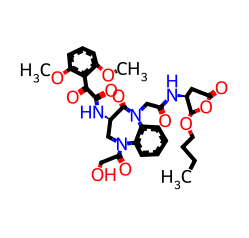 CCCCOC1OC(=O)C[C@@H]1NC(=O)CN1C(=O)[C@@H](NC(=O)C(=O)c2c(OC)cccc2OC)CN(C(=O)CO)c2ccccc21